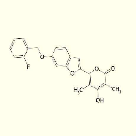 Cc1c(-c2cc3ccc(OCc4ccccc4F)cc3o2)oc(=O)c(C)c1O